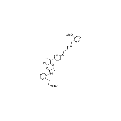 COc1ccccc1COCCCOc1ccc([C@H]2CCNC[C@@H]2O[C@@H](C)C(=O)Nc2ccccc2CCNC(C)=O)cc1